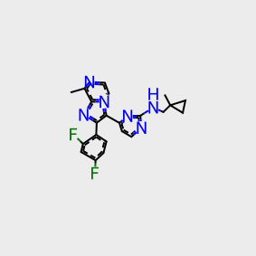 Cc1nccn2c(-c3ccnc(NCC4(C)CC4)n3)c(-c3ccc(F)cc3F)nc12